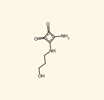 Nc1c(NCCCO)c(=O)c1=O